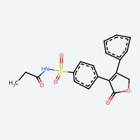 CCC(=O)NS(=O)(=O)c1ccc(C2=C(c3ccccc3)COC2=O)cc1